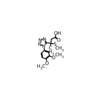 COc1ccc(-n2nnnc2C(C)(CC(=O)O)SC)cc1OC